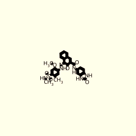 CNS(=O)(=O)c1cc(OC)c(N/N=C2\C(=O)C(C(=O)Nc3ccc4[nH]c(=O)[nH]c4c3)=Cc3ccccc32)cc1C